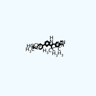 Cc1cc(-c2[nH]c3ccc(C4CCN(CC(C)(C)O)CC4)cc3c2C(C)C)cn2cnnc12